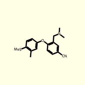 CSc1ccc(Oc2ccc(C#N)cc2CN(C)C)cc1C